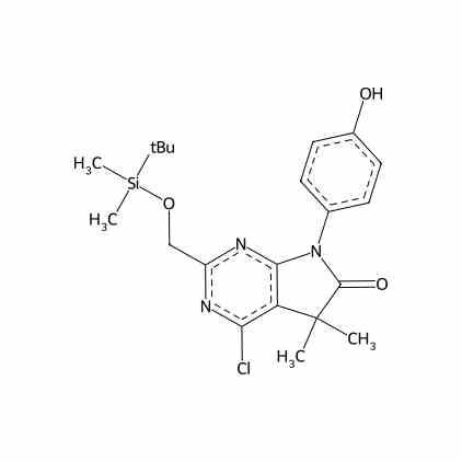 CC1(C)C(=O)N(c2ccc(O)cc2)c2nc(CO[Si](C)(C)C(C)(C)C)nc(Cl)c21